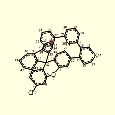 Clc1ccc2c(c1)Oc1cc(-c3ccncc3-c3cccc(-c4cccnc4)n3)ccc1C21c2ccccc2-c2ccccc21